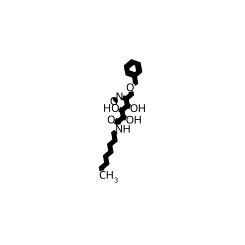 CCCCCCCCNC(=O)C(O)C(O)C(O)C(COCc1ccccc1)N=O